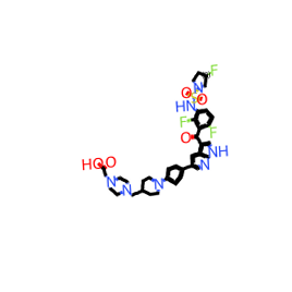 O=C(O)CN1CCN(CC2CCN(c3ccc(-c4cnc5[nH]cc(C(=O)c6c(F)ccc(NS(=O)(=O)N7CC[C@@H](F)C7)c6F)c5c4)cc3)CC2)CC1